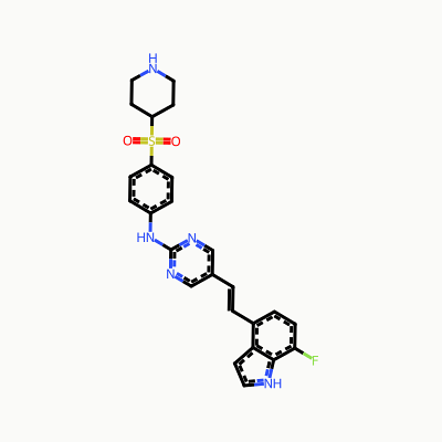 O=S(=O)(c1ccc(Nc2ncc(C=Cc3ccc(F)c4[nH]ccc34)cn2)cc1)C1CCNCC1